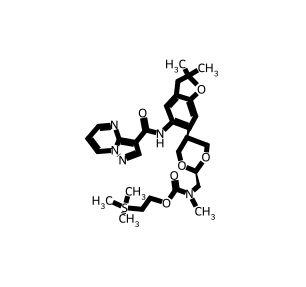 CN(C[C@H]1OC[C@@H](c2cc3c(cc2NC(=O)c2cnn4cccnc24)CC(C)(C)O3)CO1)C(=O)OCCS(C)(C)C